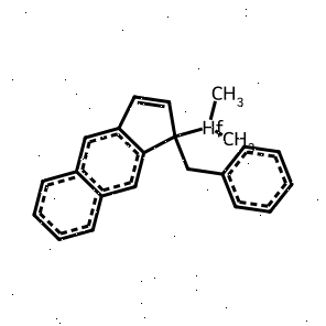 [CH3][Hf]([CH3])[C]1(Cc2ccccc2)C=Cc2cc3ccccc3cc21